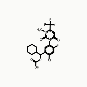 Cn1c(C(F)(F)F)cc(=O)n(-c2cc(C(OC(=O)O)C3CCCCC3)c(Cl)cc2F)c1=O